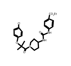 CCOC(=O)c1ccc(NC(=O)NC2CCN(C(=O)C(C)(C)Oc3ccc(Cl)cc3)CC2)cc1